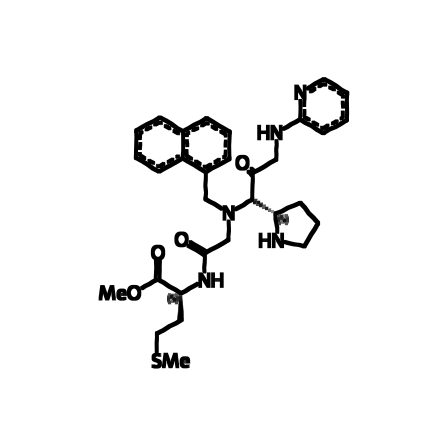 COC(=O)[C@H](CCSC)NC(=O)CN(Cc1cccc2ccccc12)C(C(=O)CNc1ccccn1)[C@@H]1CCCN1